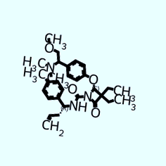 C=CC[C@@H](NC(=O)N1C(=O)C(CC)(CC)[C@@H]1Oc1ccc(C(COC)N(C)C)cc1)c1ccc(C)cc1